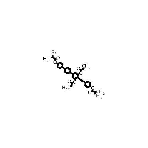 C=CC(=O)Oc1cc(-c2ccc(-c3ccc(OC(=O)C(=C)C)cc3)cc2)cc(OC(=O)C=C)c1C#Cc1ccc(OC(=O)C(=C)C)cc1